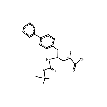 C[C@@H](CC(Cc1ccc(-c2ccccc2)cc1)NC(=O)OC(C)(C)C)C(=O)O